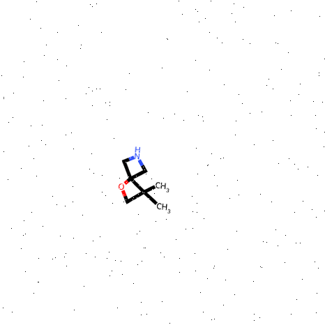 CC1(C)COC12CNC2